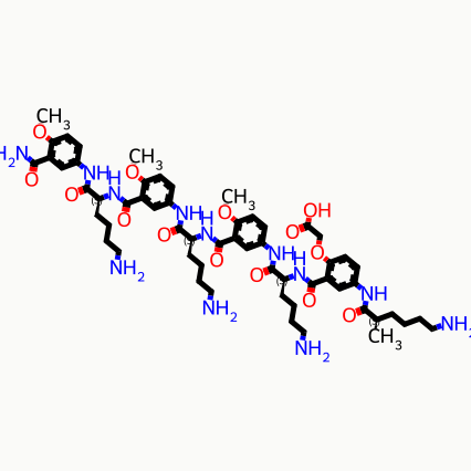 COc1ccc(NC(=O)[C@H](CCCCN)NC(=O)c2cc(NC(=O)[C@H](CCCCN)NC(=O)c3cc(NC(=O)[C@H](CCCCN)NC(=O)c4cc(NC(=O)[C@@H](C)CCCCN)ccc4OCC(=O)O)ccc3OC)ccc2OC)cc1C(N)=O